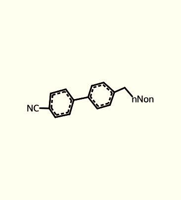 CCCCCCCCCCc1ccc(-c2ccc(C#N)cc2)cc1